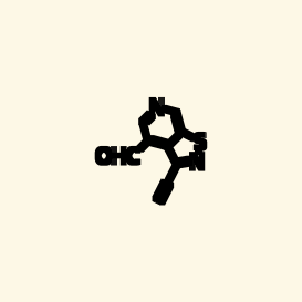 C#Cc1nsc2cncc(C=O)c12